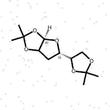 CC1(C)OCC([C@@H]2CC3OC(C)(C)O[C@H]3O2)O1